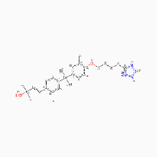 CCC(CC)(c1ccc(C=CC(C)(C)O)c(C)c1)c1ccc(OCCCCc2nnn[nH]2)c(C)c1